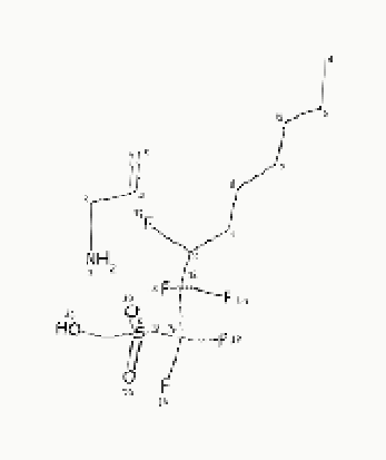 C=CCN.CCCCCCC(F)C(F)(F)C(F)(F)S(=O)(=O)O